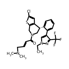 CCn1cc(-c2ccccc2[C@@H]2CN(C(=O)/C=C/CN(C)C)Cc3sc(Cl)cc32)c(C(F)(F)F)n1